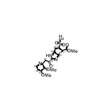 COC(=O)c1cc2nc([S+]([O-])Cc3nccc(OC)c3OC)[nH]c2cc1S(C)(=O)=O